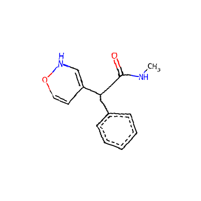 CNC(=O)C(C1=CNOC=C1)c1ccccc1